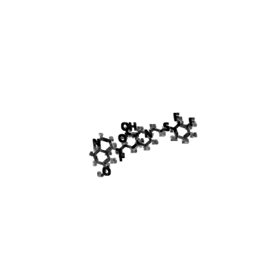 COc1ccc2nccc([C@H](F)CC[C@@H]3CCN(CCSc4cccc(F)c4F)C[C@@H]3C(=O)O)c2c1